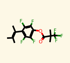 CC(C)=C(C)c1c(F)c(F)c(OC(=O)C(C)(C)C(F)(F)F)c(F)c1F